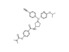 CC(C)Oc1ccc([C@@H](c2ccc(C#N)cc2)N2CCC(NC(=O)c3ccc(OC(=O)N(C)C)cc3)C2)cn1